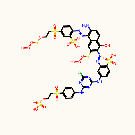 Nc1ccc2c(O)c(/N=N/c3cc(Nc4nc(Cl)nc(Nc5ccc(S(=O)(=O)CCOS(=O)(=O)O)cc5)n4)ccc3S(=O)(=O)O)c(SOOO)cc2c1/N=N/c1ccc(S(=O)(=O)CCOSOOO)cc1S(=O)(=O)O